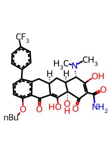 CCCCOc1ccc(-c2ccc(C(F)(F)F)cc2)c2c1C(=O)C1=C(O)[C@]3(O)C(=O)C(C(N)=O)=C(O)[C@@H](N(C)C)[C@@H]3C[C@@H]1C2